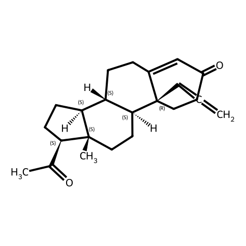 C=C=C[C@]12CCC(=O)C=C1CC[C@H]1[C@@H]3CC[C@H](C(C)=O)[C@@]3(C)CC[C@@H]12